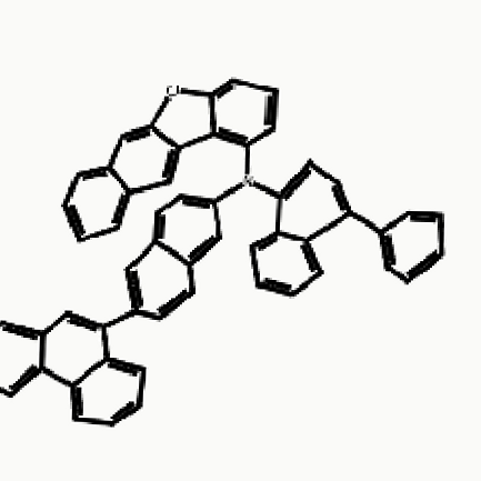 c1ccc(-c2ccc(N(c3ccc4cc(-c5cc6ccccc6c6ccccc56)ccc4c3)c3cccc4oc5cc6ccccc6cc5c34)c3ccccc23)cc1